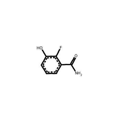 NC(=O)c1cccc(O)c1F